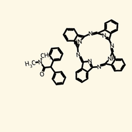 CN(C)C(=O)C(c1ccccc1)c1ccccc1.c1ccc2c(c1)-c1nc-2nc2[nH]c(nc3nc(nc4[nH]c(n1)c1ccccc41)-c1ccccc1-3)c1ccccc21